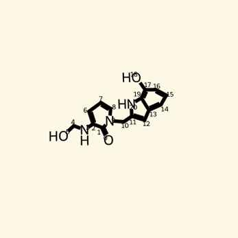 O=c1c(NCO)cccn1Cc1cc2cccc(O)c2[nH]1